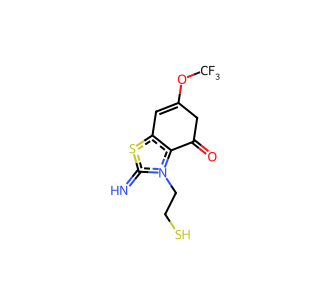 N=c1sc2c(n1CCS)C(=O)CC(OC(F)(F)F)=C2